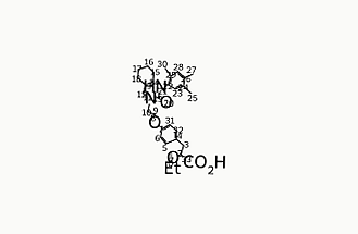 CCOC(Cc1ccc(OCCN(CC2CCCCC2)C(=O)Nc2cc(C)c(C)cc2C)cc1)C(=O)O